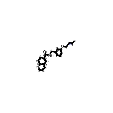 C/C=C/COc1cccc(CNC(=O)c2ccc3ncccc3c2)c1